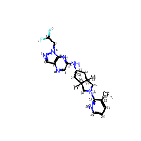 FC(F)Cn1ncc2ncc(N[C@H]3C[C@@H]4CN(c5ncccc5C(F)(F)F)C[C@@H]4C3)nc21